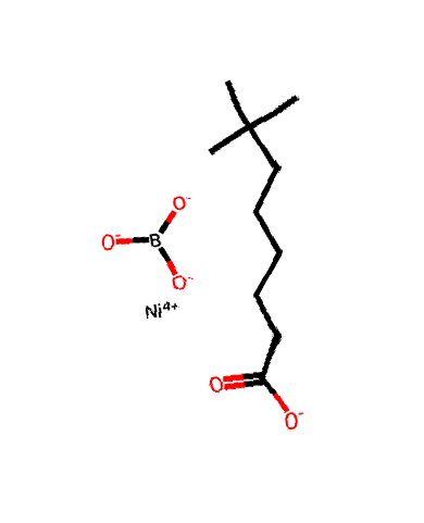 CC(C)(C)CCCCCC(=O)[O-].[Ni+4].[O-]B([O-])[O-]